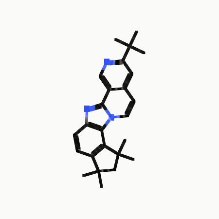 CC(C)(C)c1cc2ccn3c(nc4ccc5c(c43)C(C)(C)CC5(C)C)c2cn1